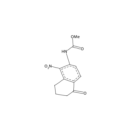 COC(=O)Nc1ccc2c(c1[N+](=O)[O-])CCCC2=O